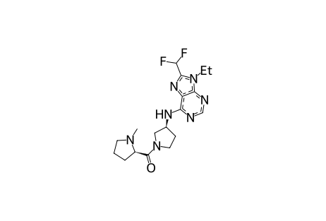 CCn1c(C(F)F)nc2c(N[C@H]3CCN(C(=O)[C@H]4CCCN4C)C3)ncnc21